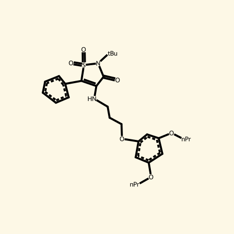 CCCOc1cc(OCCC)cc(OCCCNC2=C(c3ccccc3)S(=O)(=O)N(C(C)(C)C)C2=O)c1